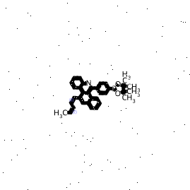 C/C=C\C=C/c1cc2ccccc2c2c(-c3ccc(B4OC(C)(C)C(C)(C)O4)cc3)nc3ccccc3c12